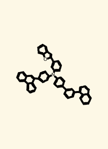 c1cc(-c2ccc(N(c3ccc(-c4cc5ccccc5c5ccccc45)cc3)c3cccc(-c4cc5ccccc5o4)c3)cc2)cc(-c2cccc3ccccc23)c1